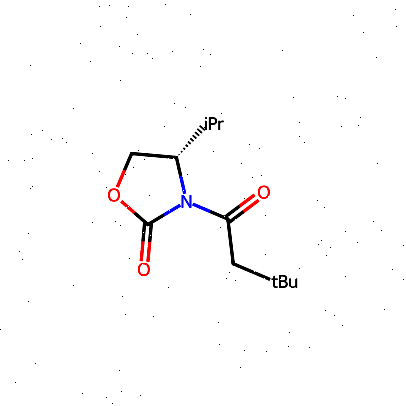 CC(C)[C@H]1COC(=O)N1C(=O)CC(C)(C)C